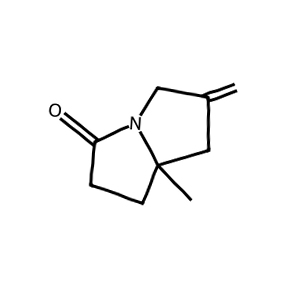 C=C1CN2C(=O)CCC2(C)C1